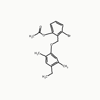 CCc1cc(C)c(OCc2c(Br)cccc2OC(C)=O)cc1C